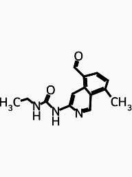 CCNC(=O)Nc1cc2c(C=O)ccc(C)c2cn1